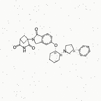 O=C1NC(=O)C2(N3Cc4cc(O[C@H]5CCCC[C@H]5N5CC[C@H](c6ccccc6)C5)ccc4C3=O)CC1C2